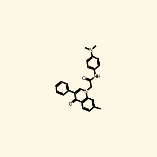 Cc1ccc2c(=O)c(-c3ccccc3)cn(CC(=O)Nc3ccc(N(C)C)cc3)c2c1